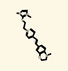 CN1CCOc2cc(/C=C/c3cc[n+](CCSc4n(C)cc[n+]4C)cc3)ccc21